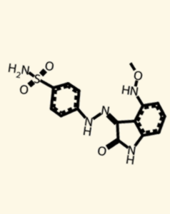 CONc1cccc2c1/C(=N/Nc1ccc(S(N)(=O)=O)cc1)C(=O)N2